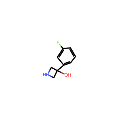 OC1(c2cccc(F)c2)CNC1